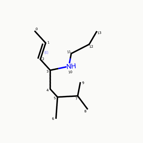 C/C=C/C(CC(C)C(C)C)NCCC